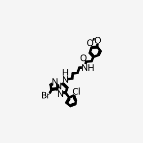 O=C(Cc1ccc2c(c1)OCO2)NCCCCNc1cc(-c2ccccc2Cl)nc2c(Br)cnn12